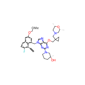 C#Cc1c(F)ccc2cc(OCOC)cc(Cn3cnc4c(OCC5(CN6C[C@@H](C)O[C@@H](C)C6)CC5)nc(N5CCC[C@](C)(O)C5)nc43)c12